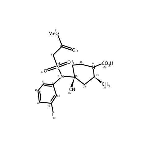 COC(=O)CS(=O)(=O)N(c1cccc(F)c1)[C@]1(C#N)CCN(C(=O)O)[C@@H](C)C1